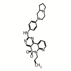 C=CCN1c2ncccc2-c2nc(Nc3ccc(N4CCN5CCCC5C4)cc3)ncc2S1(=O)=O